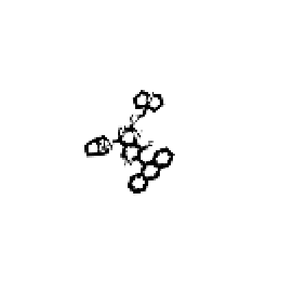 Fc1c(-c2c3ccccc3cc3ccccc23)ncc2c(N3CC4CCC(C3)N4)nc(OCC34CCCN3CCC4)nc12